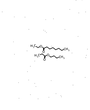 CCCCCCCC(=O)OCC.CCCCOC(=O)CC